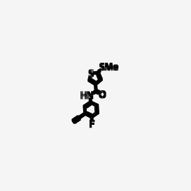 C#Cc1cc(NC(=O)c2csc(SC)c2)ccc1F